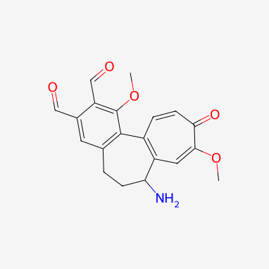 COc1c(C=O)c(C=O)cc2c1-c1ccc(=O)c(OC)cc1C(N)CC2